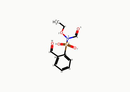 CCON(C=O)S(=O)(=O)c1ccccc1C=O